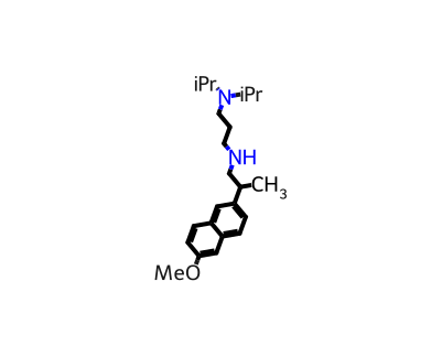 COc1ccc2cc(C(C)CNCCCN(C(C)C)C(C)C)ccc2c1